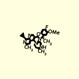 COc1cc([C@@H](C)NC(=O)c2cnc3c(C4CC4)nc(C)cc3c2N2CCN[C@@H](C)CC2)ccc1F